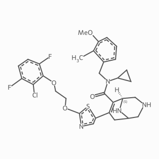 COc1cccc(CN(C(=O)C2=C(c3cnc(OCCOc4c(F)ccc(F)c4Cl)s3)CC3CNC[C@H]2N3)C2CC2)c1C